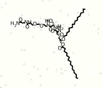 CCCCCCCCCCCCCCCC(=O)OC[C@H](CSC[C@H](N)C(=O)N[C@@H](CO)C(=O)NCCOCCOCCC(=O)NCC(N)=O)OC(=O)CCCCCCCCCCCCCCC